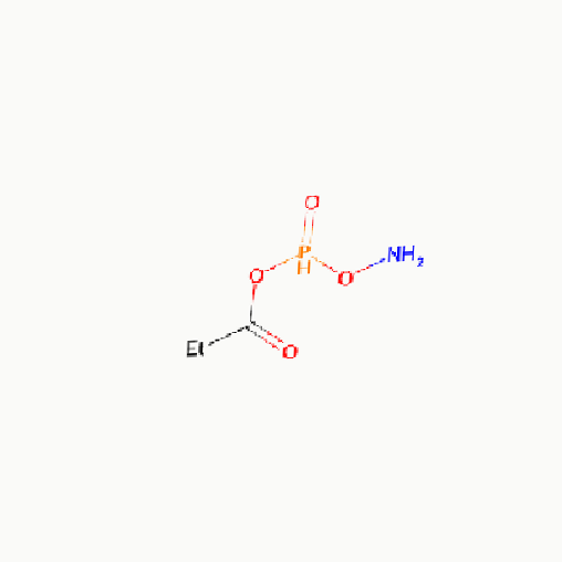 CCC(=O)O[PH](=O)ON